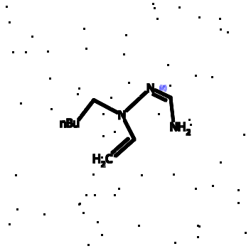 C=CN(CCCCC)/N=C\N